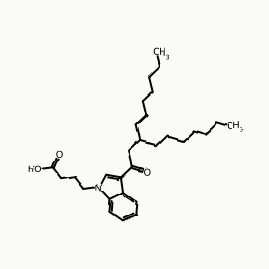 CCCCCCCC(CCCCCCC)CC(=O)c1cn(CCCC(=O)O)c2ccccc12